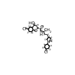 C=C(CCc1cnn(-c2ccc(Cl)cc2)c1)NC(=O)[C@H]1C[C@@H](O)c2cc(Cl)ccc2O1